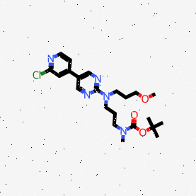 COCCCN(CCCN(C)C(=O)OC(C)(C)C)c1ncc(-c2ccnc(Cl)c2)cn1